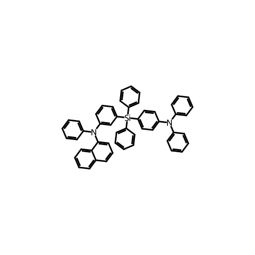 c1ccc(N(c2ccccc2)c2ccc([Si](c3ccccc3)(c3ccccc3)c3cccc(N(c4ccccc4)c4cccc5ccccc45)c3)cc2)cc1